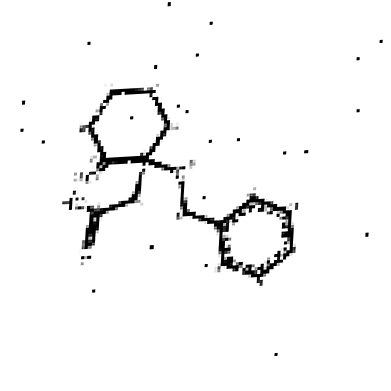 O=C(O)C[C@]1(OCc2ccccc2)CCCCC1=O